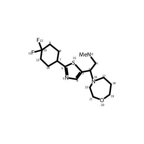 CNCC(c1cnc(C2CCC(F)(F)CC2)s1)N1CCCOCC1